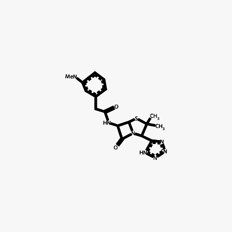 CNc1cccc(CC(=O)NC2C(=O)N3C2SC(C)(C)C3c2nnn[nH]2)c1